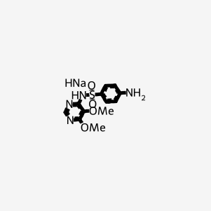 COc1ncnc(NS(=O)(=O)c2ccc(N)cc2)c1OC.[NaH]